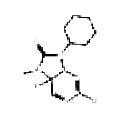 [2H]C12C=NC(Cl)=NC1N(C1CCCCC1)C(=O)N2C